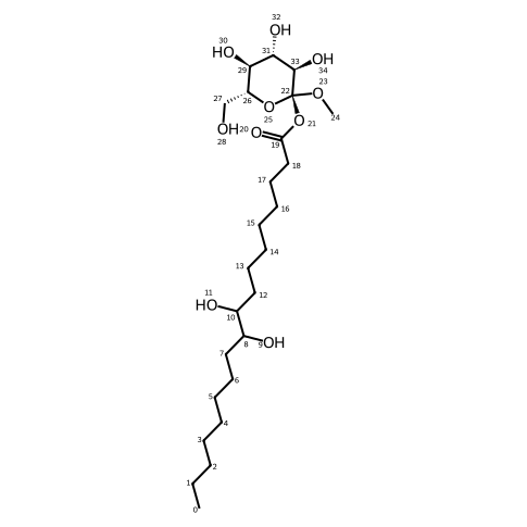 CCCCCCCCC(O)C(O)CCCCCCCC(=O)O[C@@]1(OC)O[C@H](CO)[C@@H](O)[C@H](O)[C@H]1O